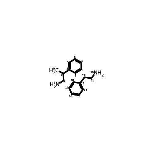 CC(CN)c1ccccc1.NCCc1ccccc1